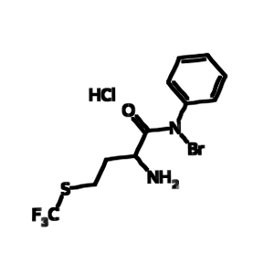 Cl.NC(CCSC(F)(F)F)C(=O)N(Br)c1ccccc1